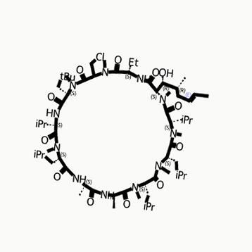 C/C=C/C[C@@H](C)[C@@H](O)[C@H]1C(=O)N[C@@H](CC)C(=O)N(C)C(CCl)C(=O)N(C)[C@@H](CC(C)(C)C)C(=O)N[C@@H](C(C)C)C(=O)N(C)[C@@H](CC(C)C)C(=O)N[C@@H](C)C(=O)N[C@H](C)C(=O)N(C)[C@@H](CC(C)C)C(=O)N(C)[C@@H](CC(C)C)C(=O)N(C)[C@@H](C(C)C)C(=O)N1C